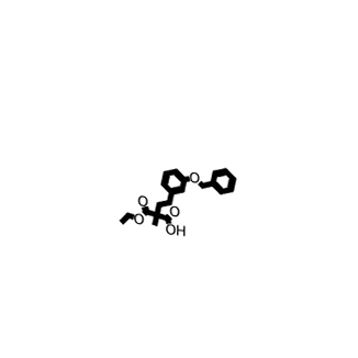 CCOC(=O)C(C)(CCc1cccc(OCc2ccccc2)c1)C(=O)O